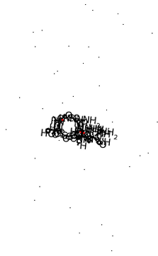 CCCCC[C@@H]1NC(=O)[C@H]2CCCN2C(=O)CNC(=O)[C@@H](CCCCN)NC(=O)[C@@H](Cc2cnc[nH]2)NC(=O)[C@@H](NC(=O)[C@@H](CC(C)C)NC(=O)[C@H](CCCNC(=N)N)NC(=O)[C@H]2CCCN2C(=O)[C@H](CCCNC(=N)N)NC(=O)[C@H]2CCC(=O)N2)CSCC(=O)CSC[C@@H](C(=O)N[C@H](Cc2ccccc2)C(=O)O)NC1=O